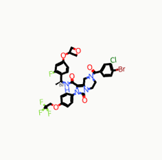 C[C@H](NC(=O)c1c2n(c(=O)n1-c1ccc(OCC(F)(F)F)cc1)CCN(C(=O)c1ccc(Br)c(Cl)c1)C2)c1ccc(OC2COC2)cc1F